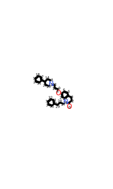 O=C1CCc2ccc(OCCCN3CCC(c4ccccc4)CC3)cc2N1CCCc1ccccc1